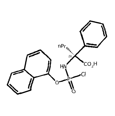 CCC[C@@](NP(=O)(Cl)Oc1cccc2ccccc12)(C(=O)O)c1ccccc1